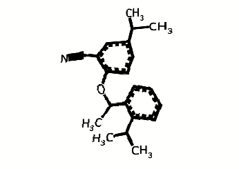 CC(C)c1ccc(OC(C)c2ccccc2C(C)C)c(C#N)c1